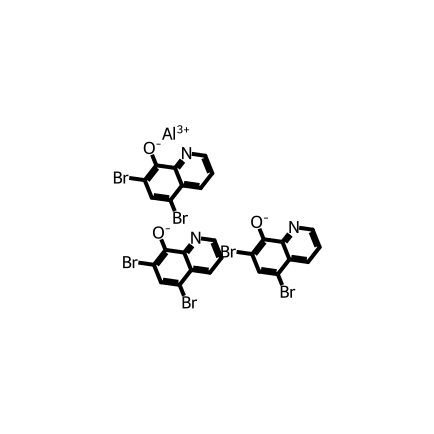 [Al+3].[O-]c1c(Br)cc(Br)c2cccnc12.[O-]c1c(Br)cc(Br)c2cccnc12.[O-]c1c(Br)cc(Br)c2cccnc12